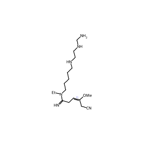 CCN(CCCCCNCCNCN)C(=N)C/C=C(\CC#N)OC